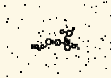 O=C(O)C[C@H]1CCCN(c2ccc(-c3c4cccc(C(F)(F)F)c4nn3Cc3ccc(F)cc3Cl)cc2)C1